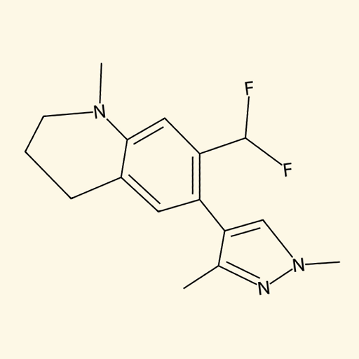 Cc1nn(C)cc1-c1cc2c(cc1C(F)F)N(C)CCC2